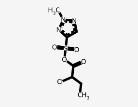 CCC(Cl)C(=O)OS(=O)(=O)c1cnn(C)n1